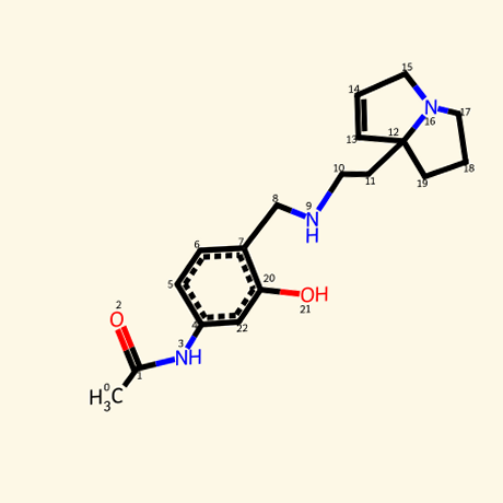 CC(=O)Nc1ccc(CNCCC23C=CCN2CCC3)c(O)c1